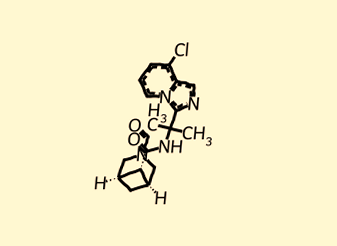 CC(C)(NC(=O)[C@@H]1[C@@H]2C[C@H]1CN(C=O)C2)c1ncc2c(Cl)cccn12